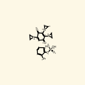 CC(C)c1ccccc1OP(=O)(O)O.O=C1C=C(N2CC2)C(=O)C(N2CC2)=C1N1CC1